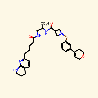 O=C(CCCCc1ccc2c(n1)NCCC2)NCC(NC(=O)C1CN(Sc2cccc(C3=CCOCC3)c2)C1)C(=O)O